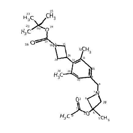 CC(=O)OC1(C)CN(Cc2cc(C)c(C3CN(C(=O)OC(C)(C)C)C3)c(C)c2)C1